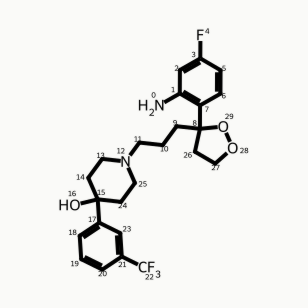 Nc1cc(F)ccc1C1(CCCN2CCC(O)(c3cccc(C(F)(F)F)c3)CC2)CCOO1